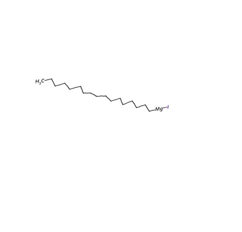 CCCCCCCCCCCCCCCC[CH2][Mg][I]